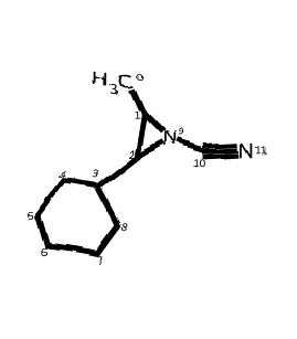 CC1C(C2CCCCC2)N1C#N